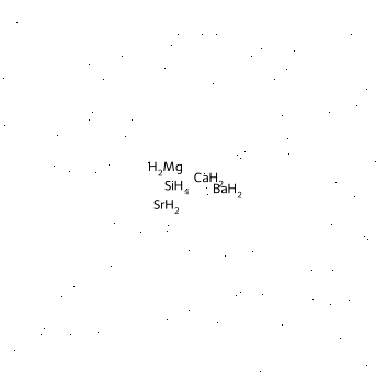 [BaH2].[CaH2].[MgH2].[SiH4].[SrH2]